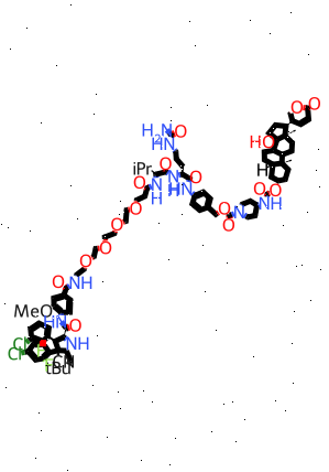 COc1cc(C(=O)NCCOCCOCCOCCOCCC(=O)N[C@@H](C(=O)N[C@@H](CCCNC(N)=O)C(=O)Nc2ccc(COC(=O)N3CCC(NC(=O)O[C@H]4CC[C@]5(C)C6CC[C@]7(C)[C@@H](C8C=CC(=O)OC8)CC[C@]7(O)C6CC[C@@H]5C4)CC3)cc2)C(C)C)ccc1NC(=O)[C@@H]1NC(CC(C)(C)C)[C@](C#N)(c2ccc(Cl)cc2F)[C@H]1c1cccc(Cl)c1F